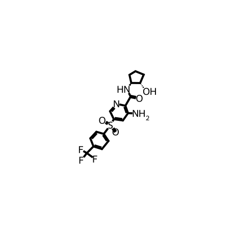 Nc1cc(S(=O)(=O)c2ccc(C(F)(F)F)cc2)cnc1C(=O)N[C@H]1CCC[C@@H]1O